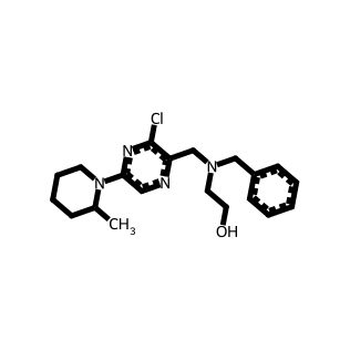 CC1CCCCN1c1cnc(CN(CCO)Cc2ccccc2)c(Cl)n1